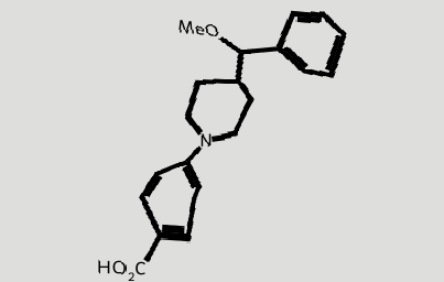 COC(c1ccccc1)C1CCN(c2ccc(C(=O)O)cc2)CC1